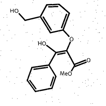 COC(=O)C(Oc1cccc(CO)c1)=C(O)c1ccccc1